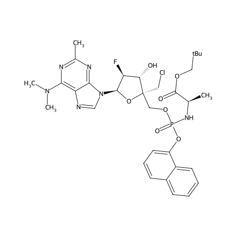 Cc1nc(N(C)C)c2ncn([C@@H]3O[C@](CCl)(COP(=O)(N[C@H](C)C(=O)OCC(C)(C)C)Oc4cccc5ccccc45)[C@@H](O)[C@@H]3F)c2n1